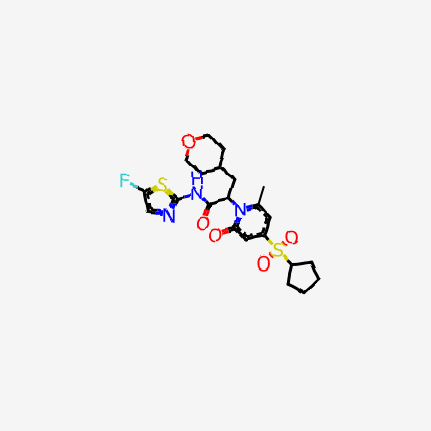 Cc1cc(S(=O)(=O)C2CCCC2)cc(=O)n1C(CC1CCOCC1)C(=O)Nc1ncc(F)s1